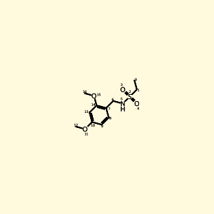 CCS(=O)(=O)NCc1ccc(OC)cc1OC